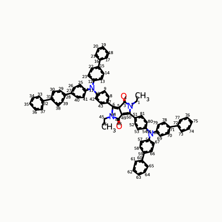 CCN1C(=O)C2=C(c3ccc(N(c4ccc(-c5ccccc5)cc4)c4ccc(-c5ccc(-c6ccccc6)cc5)cc4)cc3)N(CC)C(=O)C2=C1c1ccc(N(c2ccc(-c3ccccc3)cc2)c2ccc(-c3ccccc3)cc2)cc1